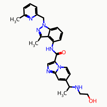 Cc1cccc(Cn2nc(C)c3c(NC(=O)c4cnc5cc(C(C)NCCO)ccn45)cccc32)n1